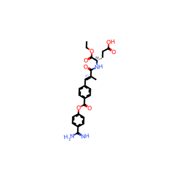 CCOC(=O)[C@H](CCC(=O)O)NC(=O)/C(C)=C/c1ccc(C(=O)Oc2ccc(C(=N)N)cc2)cc1